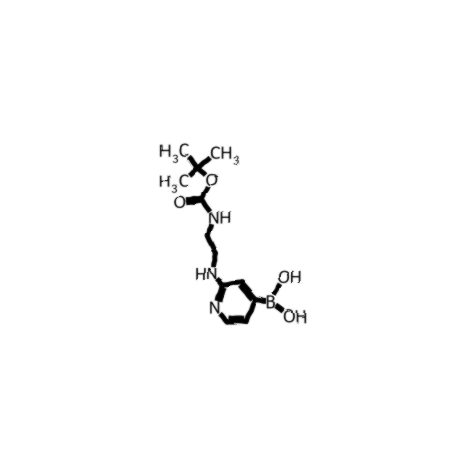 CC(C)(C)OC(=O)NCCNc1cc(B(O)O)ccn1